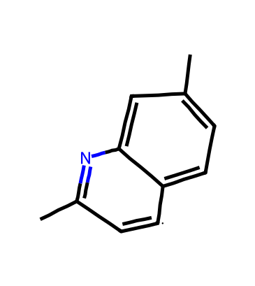 Cc1ccc2[c]cc(C)nc2c1